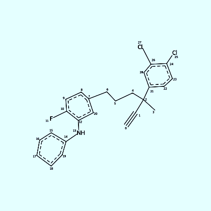 C#CC(C)(CCCc1ccc(F)c(Nc2ccccc2)c1)c1ccc(Cl)c(Cl)c1